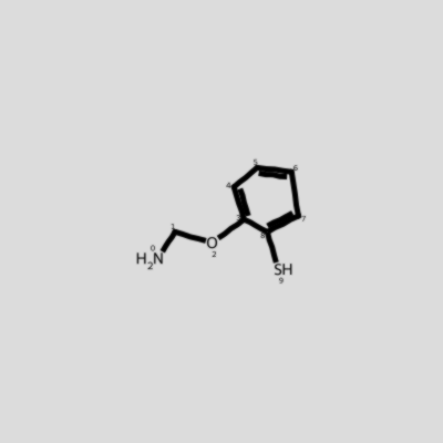 NCOc1ccccc1S